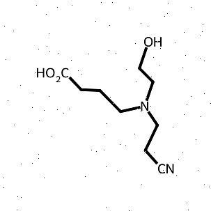 N#CCCN(CCO)CCCC(=O)O